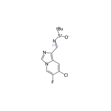 CC(C)(C)[S+]([O-])/N=C/c1ncn2cc(F)c(Cl)cc12